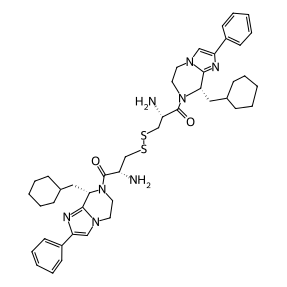 N[C@@H](CSSC[C@H](N)C(=O)N1CCn2cc(-c3ccccc3)nc2[C@@H]1CC1CCCCC1)C(=O)N1CCn2cc(-c3ccccc3)nc2[C@@H]1CC1CCCCC1